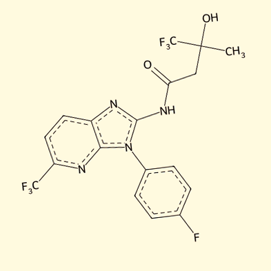 CC(O)(CC(=O)Nc1nc2ccc(C(F)(F)F)nc2n1-c1ccc(F)cc1)C(F)(F)F